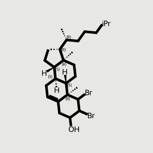 CC(C)CCC[C@@H](C)[C@H]1CC[C@H]2[C@@H]3CC=C4CC(O)C(Br)C(Br)[C@]4(C)[C@H]3CC[C@]12C